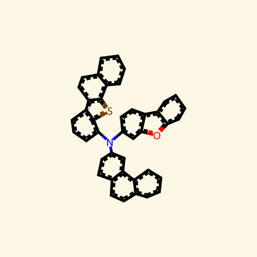 c1ccc2c(c1)ccc1ccc(N(c3ccc4c(c3)oc3ccccc34)c3cccc4c3sc3c5ccccc5ccc43)cc12